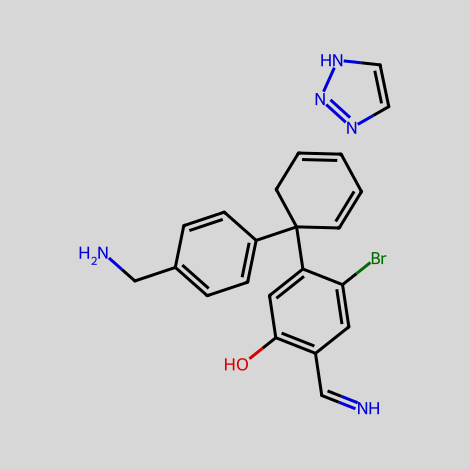 N=Cc1cc(Br)c(C2(c3ccc(CN)cc3)C=CC=CC2)cc1O.c1c[nH]nn1